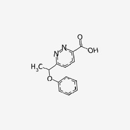 CC(Oc1ccccc1)c1ccc(C(=O)O)nn1